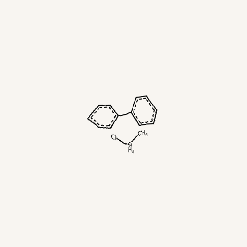 C[SiH2]Cl.c1ccc(-c2ccccc2)cc1